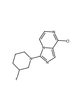 FC1CCCN(c2ncc3c(Cl)nccn23)C1